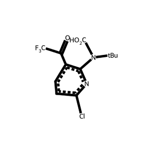 CC(C)(C)N(C(=O)O)c1nc(Cl)ccc1C(=O)C(F)(F)F